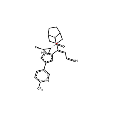 N=C/C=C(\c1cc(-c2ccc(C(F)(F)F)nc2)c[nH]1)N1CC2CCC(C1)N2C(=O)[C@@H]1C[C@H]1F